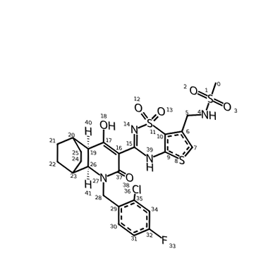 CS(=O)(=O)NCc1csc2c1S(=O)(=O)N=C(C1=C(O)[C@@H]3C4CCC(CC4)[C@@H]3N(Cc3ccc(F)cc3Cl)C1=O)N2